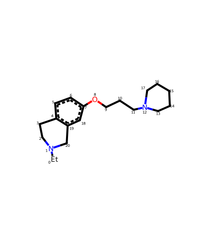 CCN1CCc2ccc(OCCCN3CCCCC3)cc2C1